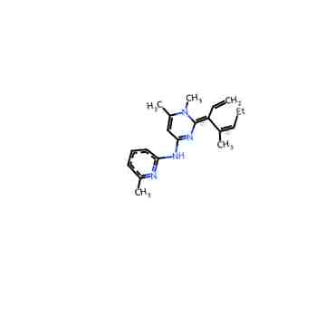 C=CC(/C(C)=C\CC)=C1/N=C(Nc2cccc(C)n2)C=C(C)N1C